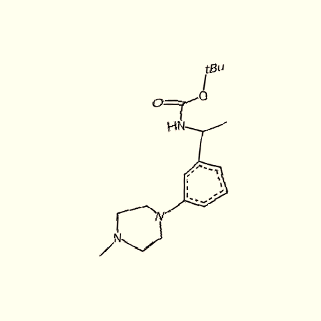 CC(NC(=O)OC(C)(C)C)c1cccc(N2CCN(C)CC2)c1